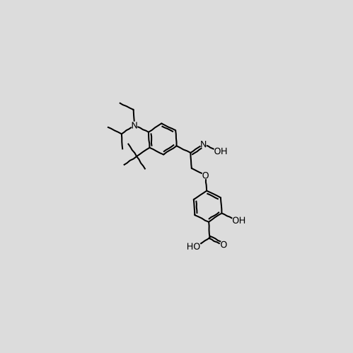 CCN(c1ccc(C(COc2ccc(C(=O)O)c(O)c2)=NO)cc1C(C)(C)C)C(C)C